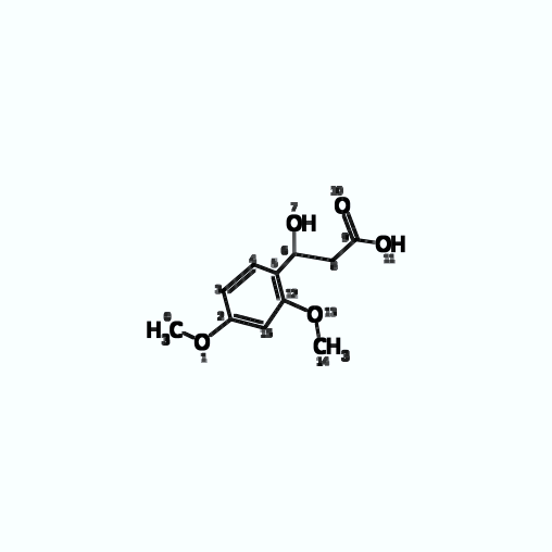 COc1ccc(C(O)CC(=O)O)c(OC)c1